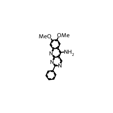 COc1cc2nc3nc(-c4ccccc4)ncc3c(N)c2cc1OC